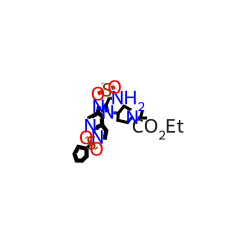 CCOC(=O)C(C)(C)N1CCC(n2c(C(N)S(C)(=O)=O)nc3cnc4c(ccn4S(=O)(=O)c4ccccc4)c32)CC1